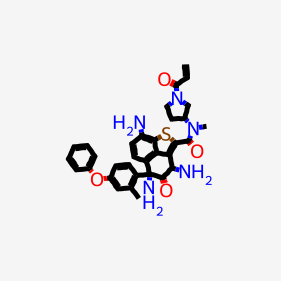 C=CC(=O)N1CCC(N(C)C(=O)c2sc3c(N)ccc4c3c2C(N)C(=O)C4(N)c2ccc(Oc3ccccc3)cc2C)C1